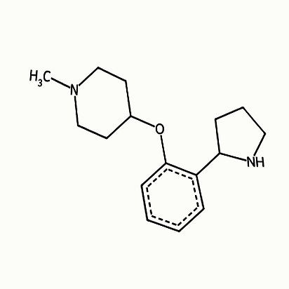 CN1CCC(Oc2ccccc2C2CCCN2)CC1